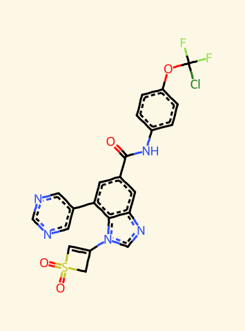 O=C(Nc1ccc(OC(F)(F)Cl)cc1)c1cc(-c2cncnc2)c2c(c1)ncn2C1=CS(=O)(=O)C1